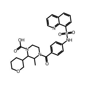 CC1C(C2CCCOC2)N(C(=O)O)CCN1C(=O)c1ccc(NS(=O)(=O)c2cccc3cccnc23)cc1